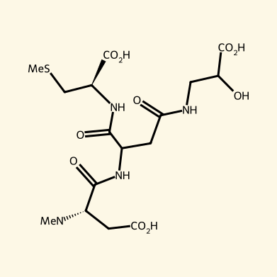 CN[C@@H](CC(=O)O)C(=O)NC(CC(=O)NCC(O)C(=O)O)C(=O)N[C@@H](CSC)C(=O)O